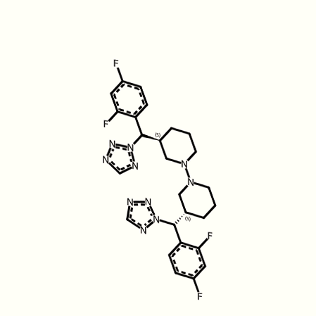 Fc1ccc(C([C@H]2CCCN(N3CCC[C@H](C(c4ccc(F)cc4F)n4ncnn4)C3)C2)n2ncnn2)c(F)c1